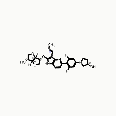 C/N=C/c1c(O[C@@H]2CO[C@H]3[C@@H]2OC[C@H]3O)[nH]c2ccc(-c3c(F)cc(N4CC[C@@H](O)C4)cc3F)nc12